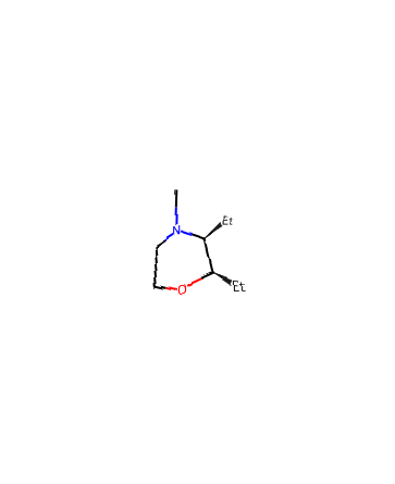 CC[C@H]1OCCN(C)[C@H]1CC